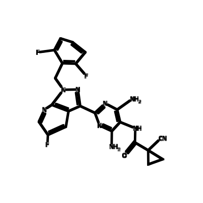 N#CC1(C(=O)Nc2c(N)nc(-c3nn(Cc4c(F)cccc4F)c4ncc(F)cc34)nc2N)CC1